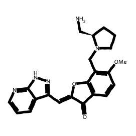 COc1ccc2c(c1CN1CCC[C@@H]1CN)O/C(=C\c1n[nH]c3ncccc13)C2=O